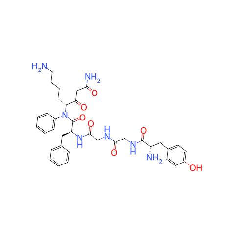 NCCCC[C@H](C(=O)CC(N)=O)N(C(=O)[C@H](Cc1ccccc1)NC(=O)CNC(=O)CNC(=O)[C@@H](N)Cc1ccc(O)cc1)c1ccccc1